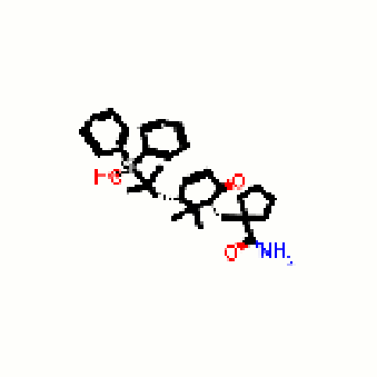 CC1(C)[C@H](CC(C)(C)[Si](O)(c2ccccc2)c2ccccc2)C=CC(=O)[C@@H]1CC1(C(N)=O)CCCC1